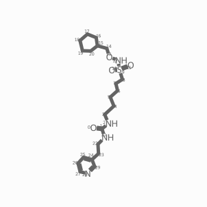 O=C(NCCCCCCS(=O)(=O)NOCC1CCCCC1)NCCc1cccnc1